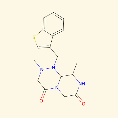 CC1NC(=O)CN2C(=O)CN(C)N(Cc3csc4ccccc34)C12